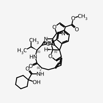 COC(=O)c1coc(-c2nc3oc2C24c5ccccc5N[C@H]2Oc2ccc(cc24)C[C@H](NC(=O)C2(O)CCCCC2)C(=O)N[C@H]3C(C)C)n1